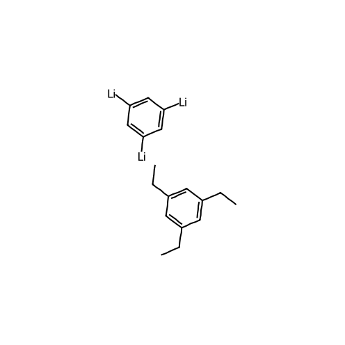 CCc1cc(CC)cc(CC)c1.[Li][c]1c[c]([Li])c[c]([Li])c1